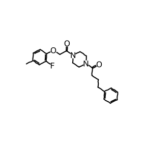 Cc1ccc(OCC(=O)N2CCN(C(=O)CCCc3ccccc3)CC2)c(F)c1